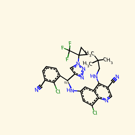 CC(C)(C)CNc1c(C#N)cnc2c(Cl)cc(N[C@H](c3cn(C4(C(F)(F)F)CC4)nn3)c3cccc(C#N)c3Cl)cc12